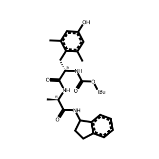 Cc1cc(O)cc(C)c1C[C@H](NC(=O)OC(C)(C)C)C(=O)N[C@H](C)C(=O)NC1CCc2ccccc21